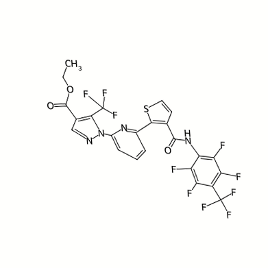 CCOC(=O)c1cnn(-c2cccc(-c3sccc3C(=O)Nc3c(F)c(F)c(C(F)(F)F)c(F)c3F)n2)c1C(F)(F)F